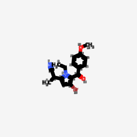 CCn1c(C(C)C#N)cc(Br)c1C(=O)c1ccc(OC)cc1